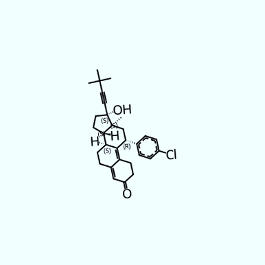 CC(C)(C)C#C[C@]1(O)CC[C@H]2[C@@H]3CCC4=CC(=O)CCC4=C3[C@@H](c3ccc(Cl)cc3)C[C@@]21C